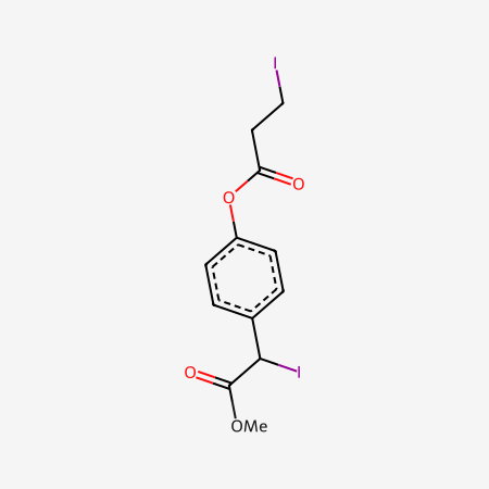 COC(=O)C(I)c1ccc(OC(=O)CCI)cc1